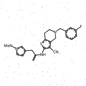 C=C(Cc1ccn(NC)c1)Nc1sc2c(c1C#N)CN(Cc1cccc(F)c1)CC2